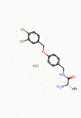 CCC[C@H](N)C(=O)NCc1ccc(OCc2ccc(Cl)c(Cl)c2)cc1.Cl